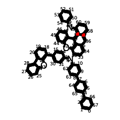 c1ccc(-c2ccc(-c3ccc(N(c4ccc(-c5cccc6c5oc5ccccc56)cc4)c4ccc5cccc6c5c4Oc4cccc(N(c5ccccc5)c5ccccc5)c4-6)cc3)cc2)cc1